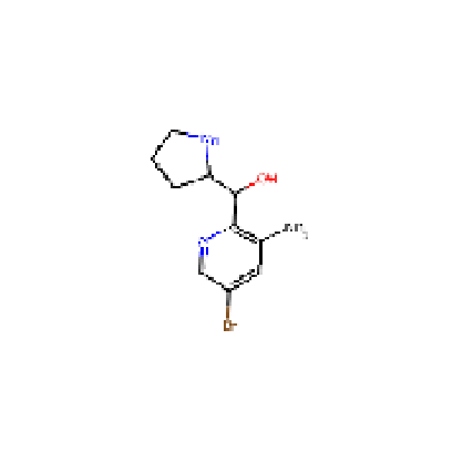 O=[N+]([O-])c1cc(Br)cnc1C(O)C1CCCN1